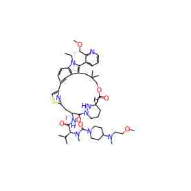 CCn1c(-c2cccnc2[C@H](C)OC)c2c3cc(ccc31)-c1csc(n1)C[C@](I)(NC(=O)[C@H](C(C)C)N(C)C(=O)N1CCC(N(C)CCOC)CC1)C(=O)N1CCC[C@H](N1)C(=O)OCC(C)(C)C2